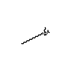 CCCCCCCCCCCCCCC[n+]1ccn(C(C)C)c1CCC